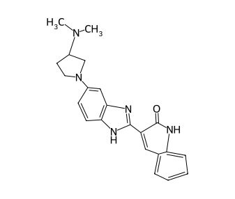 CN(C)C1CCN(c2ccc3[nH]c(-c4cc5ccccc5[nH]c4=O)nc3c2)C1